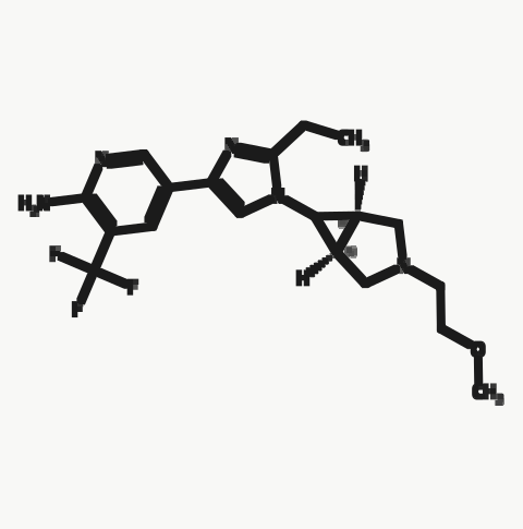 CCc1nc(-c2cnc(N)c(C(F)(F)F)c2)cn1C1[C@H]2CN(CCOC)C[C@@H]12